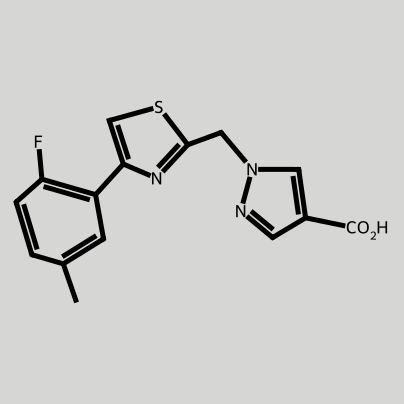 Cc1ccc(F)c(-c2csc(Cn3cc(C(=O)O)cn3)n2)c1